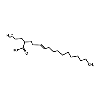 CCCCCCCCCC/C=C/CCC(CCC)C(=O)O